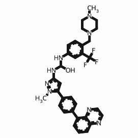 CN1CCN(Cc2ccc(NC(O)Nc3cc(-c4ccc(-c5cccc6nccnc56)cc4)n(C)n3)cc2C(F)(F)F)CC1